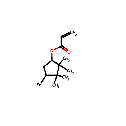 C=CC(=O)OC1CC(CC)C(C)(C)C1(C)C